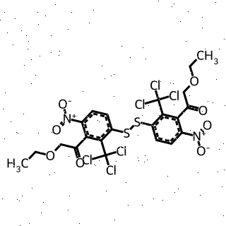 CCOCC(=O)c1c([N+](=O)[O-])ccc(SSc2ccc([N+](=O)[O-])c(C(=O)COCC)c2C(Cl)(Cl)Cl)c1C(Cl)(Cl)Cl